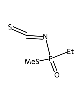 CCP(=O)(N=C=S)SC